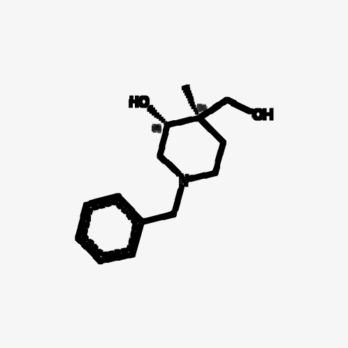 C[C@]1(CO)CCN(Cc2ccccc2)C[C@@H]1O